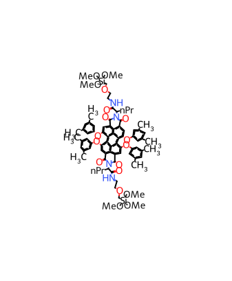 CCCC(C(=O)NCCOC[Si](OC)(OC)OC)N1C(=O)c2cc(Oc3cc(C)cc(C)c3)c3c4c(Oc5cc(C)cc(C)c5)cc5c6c(cc(Oc7cc(C)cc(C)c7)c(c7c(Oc8cc(C)cc(C)c8)cc(c2c37)C1=O)c64)C(=O)N(C(CCC)C(=O)NCCOC[Si](OC)(OC)OC)C5=O